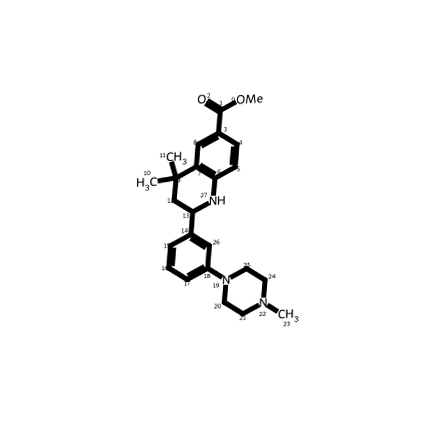 COC(=O)c1ccc2c(c1)C(C)(C)CC(c1cccc(N3CCN(C)CC3)c1)N2